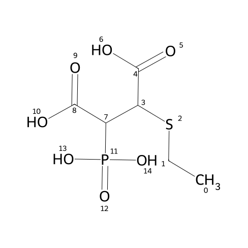 CCSC(C(=O)O)C(C(=O)O)P(=O)(O)O